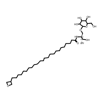 CCC[C@@H](O)[C@H](COC1OC(CO)C(O)C(O)C1O)NC(=O)CCCCCCCCCCCCCCCCCCCCCCCC1COC1